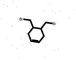 BrCC1CC=CCC1CBr